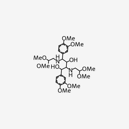 COc1ccc(C(O)C(NCC(OC)OC)C(O)C(NCC(OC)OC)c2ccc(OC)c(OC)c2)cc1OC